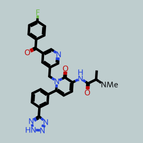 CNC(C)C(=O)Nc1ccc(-c2cccc(-c3nn[nH]n3)c2)n(Cc2cncc(C(=O)c3ccc(F)cc3)c2)c1=O